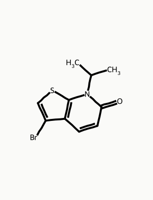 CC(C)n1c(=O)ccc2c(Br)csc21